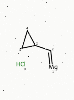 Cl.[Mg]=[CH]C1CC1